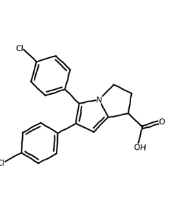 O=C(O)C1CCn2c1cc(-c1ccc(Cl)cc1)c2-c1ccc(Cl)cc1